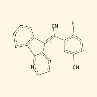 N#C/C(=C1\c2ccccc2-c2ncccc21)c1cc(C#N)ccc1F